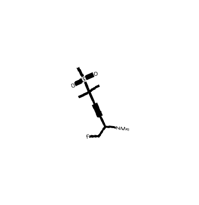 CNC(C#CC(C)(C)S(C)(=O)=O)CF